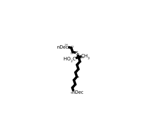 CCCCCCCCCCCCCCCCCCC(C)(SCCCCCCCCCCCC)C(=O)O